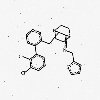 Clc1cccc(-c2ccccc2CC2C(=NCc3cccs3)C3CCN2CC3)c1Cl